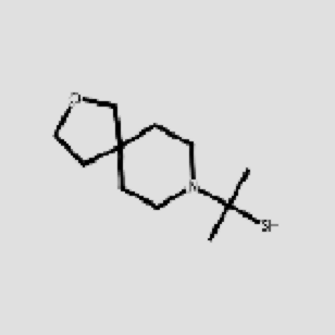 CC(C)(S)N1CCC2(CCOC2)CC1